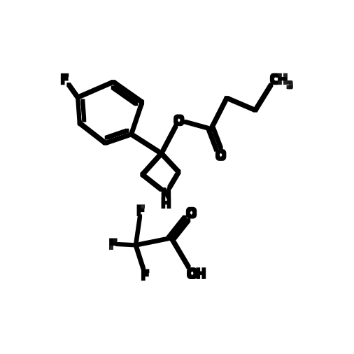 CCCC(=O)OC1(c2ccc(F)cc2)CNC1.O=C(O)C(F)(F)F